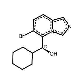 O[C@H](c1c(Br)ccc2cncn12)C1CCCCC1